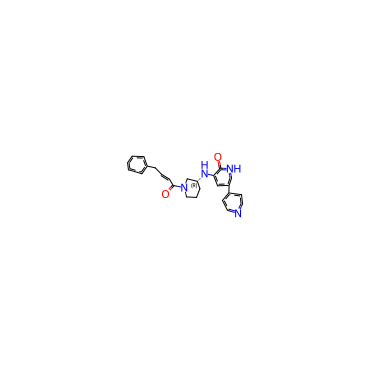 O=C(C=CCc1ccccc1)N1CCC[C@@H](Nc2cc(-c3ccncc3)c[nH]c2=O)C1